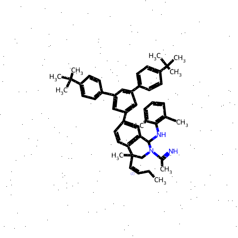 CC/C=C\C1(C)CN(C(C)=N)C(Nc2c(C)cccc2C)c2cc(-c3cc(-c4ccc(C(C)(C)C)cc4)cc(-c4ccc(C(C)(C)C)cc4)c3)ccc21